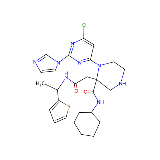 CC(NC(=O)CC1(C(=O)NC2CCCCC2)CNCCN1c1cc(Cl)nc(-n2ccnc2)n1)c1cccs1